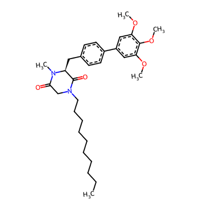 CCCCCCCCCCN1CC(=O)N(C)[C@@H](Cc2ccc(-c3cc(OC)c(OC)c(OC)c3)cc2)C1=O